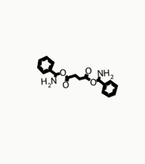 NC(OC(=O)CCC(=O)OC(N)c1ccccc1)c1ccccc1